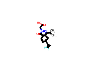 CC(C)c1nn(CC(=O)O)c(=O)c2ccc(C3CC3(F)F)cc12